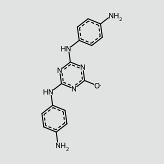 Nc1ccc(Nc2nc([O])nc(Nc3ccc(N)cc3)n2)cc1